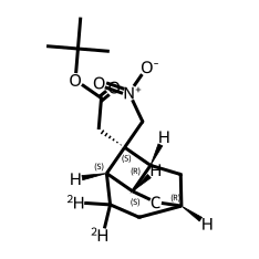 [2H]C1([2H])C[C@@H]2C[C@H]3[C@@H](C2)[C@](CC(=O)OC(C)(C)C)(C[N+](=O)[O-])[C@H]31